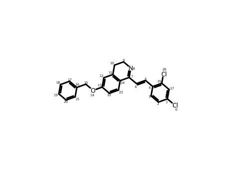 Clc1ccc(/C=C/C2=NCCc3cc(OCc4ccccc4)ccc32)c(Cl)c1